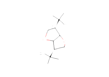 CCC(C)(C)[C@@H]1COC2C1OC[C@H]2C(C)(C)CC